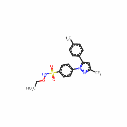 Cc1ccc(-c2cc(C(F)(F)F)nn2-c2ccc(S(=O)(=O)NOCC(=O)O)cc2)cc1